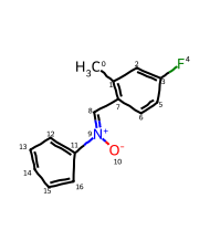 Cc1cc(F)ccc1C=[N+]([O-])c1ccccc1